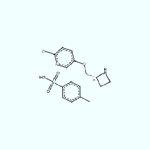 Cc1ccc(S(=O)(=O)O)cc1.Clc1ccc(OC[C@H]2CCN2)cn1